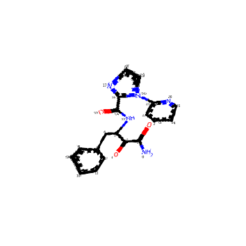 NC(=O)C(=O)C(Cc1ccccc1)NC(=O)c1nccn1-c1ccccn1